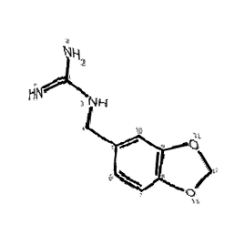 N=C(N)NCc1ccc2c(c1)OCO2